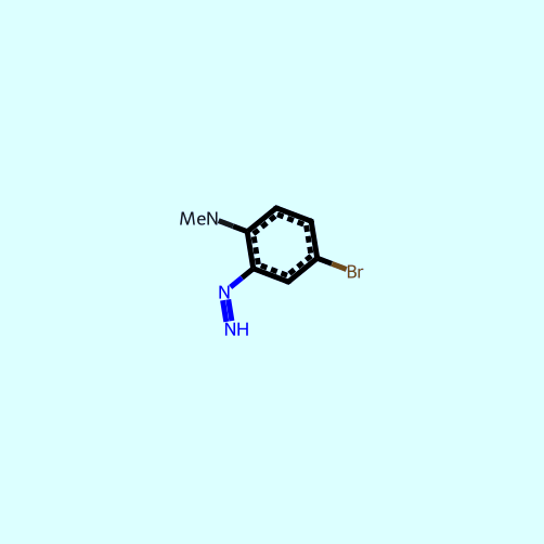 CNc1ccc(Br)cc1N=N